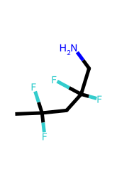 CC(F)(F)CC(F)(F)CN